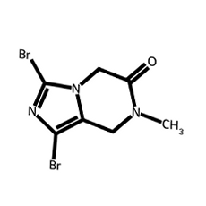 CN1Cc2c(Br)nc(Br)n2CC1=O